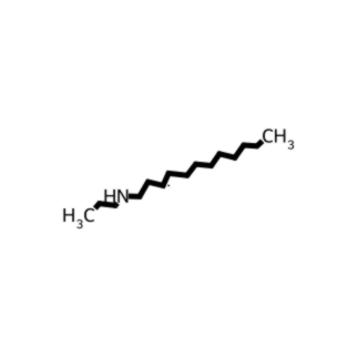 CCCCCCCCC[CH]CCNCCC